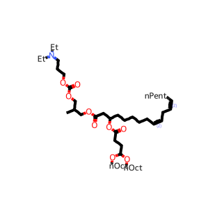 CCCCC/C=C\C/C=C\CCCCCC(CC(=O)OCC(C)COC(=O)OCCCN(CC)CC)OC(=O)CCC(OCCCCCCCC)OCCCCCCCC